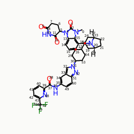 Cn1c(=O)n(C2CCC(=O)NC2=O)c2cccc(C3C[C@H]4CC[C@@H](C3)N4CC3CCC(n4cc5cc(NC(=O)c6cccc(C(F)(F)F)n6)ccc5n4)CC3)c21